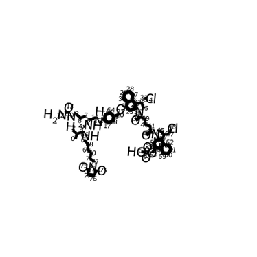 CC(C)[C@H](CN[C@H](CCCNC(N)=O)CNc1ccc(COc2cc3c(c4ccccc24)[C@H](CCl)CN3C(=O)CCCC(=O)N2C[C@@H](CCl)c3c2cc(OP(=O)(O)O)c2ccccc32)cc1)NCCCCCCN1C(=O)C=CC1=O